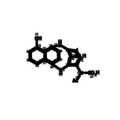 CC(=O)N(c1ccc2c(S(=O)(=O)O)c1Nc1ccc(c3c(O)cccc13)N2)S(=O)(=O)O